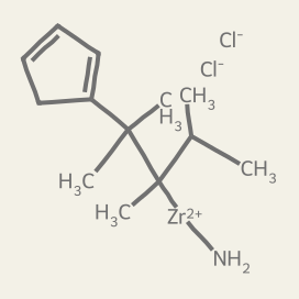 CC(C)[C](C)([Zr+2][NH2])C(C)(C)C1=CC=CC1.[Cl-].[Cl-]